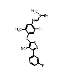 Cc1cc(N=CN(C)C(C)C)c(Cl)cc1Oc1snc(-c2cccc(F)c2)c1C#N